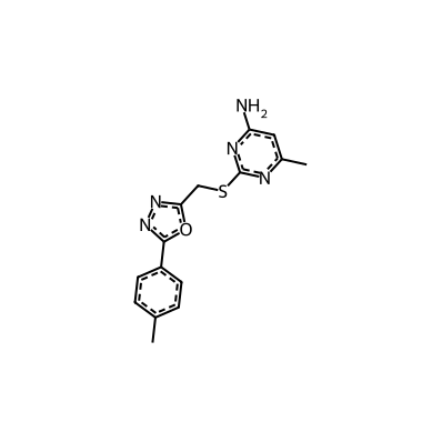 Cc1ccc(-c2nnc(CSc3nc(C)cc(N)n3)o2)cc1